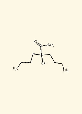 CCCCC([O])(CCCC)C(N)=O